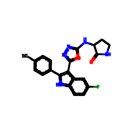 N#Cc1ccc(-c2[nH]c3ccc(F)cc3c2-c2nnc(NC3CCNC3=O)o2)cc1